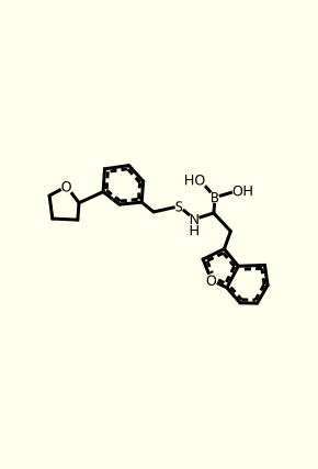 OB(O)C(Cc1coc2ccccc12)NSCc1cccc(C2CCCO2)c1